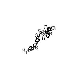 COC(=O)[C@H](CCC(=O)N1CCC(COC(=O)N2CCN(C)CC2)CC1)NC(=O)[C@H]1CCCN1S(=O)(=O)c1cc(Cl)cc(Cl)c1